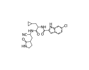 N#CC(CC1CCNC1=O)NC(=O)C(CC1CC1)NC(=O)c1cc2ccc(Cl)cc2[nH]1